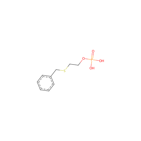 O=P(O)(O)OCCSCc1ccccc1